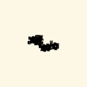 O=C(N[C@@H](c1ccc(F)c(Cl)c1)[C@@]1(F)CCNC1)Oc1ccc2cnc(NC3CCOCC3)nc2c1